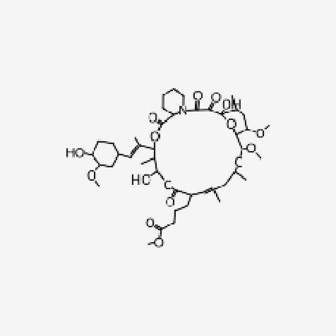 COC(=O)CCCC1C=C(C)CC(C)CC(OC)C2OC(O)(C(=O)C(=O)N3CCCCC3C(=O)OC(C(C)=CC3CCC(O)C(OC)C3)C(C)C(O)CC1=O)C(C)CC2OC